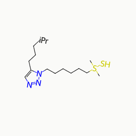 CC(C)CCCc1cnnn1CCCCCCS(C)(C)S